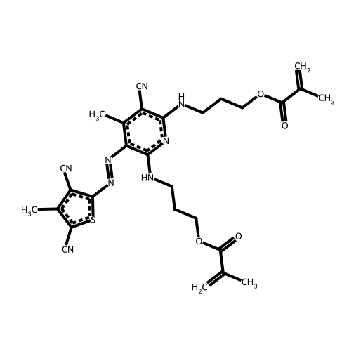 C=C(C)C(=O)OCCCNc1nc(NCCCOC(=O)C(=C)C)c(/N=N/c2sc(C#N)c(C)c2C#N)c(C)c1C#N